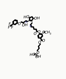 COc1cc(C(=O)OCCCCON(O)O)ccc1OC(=O)CCC/C=C\C[C@@H]1[C@@H](/C=C/[C@@H](O)COc2cccc(C(F)(F)F)c2)[C@H](O)C[C@@H]1O